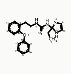 CCC1(NC(=S)NCCc2ccccc2Oc2ccccc2)NC=CS1